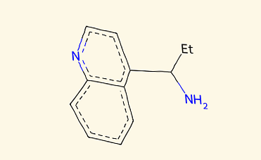 CCC(N)c1ccnc2ccccc12